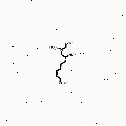 CCCCCCCCCCC/C=C\CCCC(CN(CC=O)C(=O)O)NC